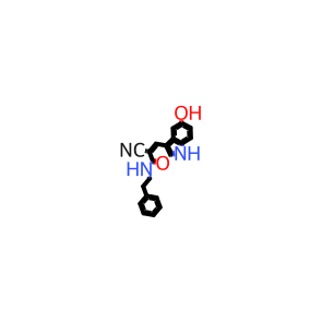 N#CC(=Cc1c[nH]c2ccc(O)cc12)C(=O)NCCc1ccccc1